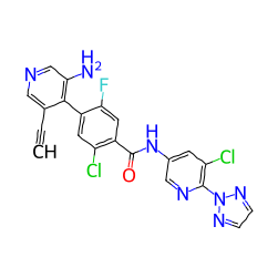 C#Cc1cncc(N)c1-c1cc(Cl)c(C(=O)Nc2cnc(-n3nccn3)c(Cl)c2)cc1F